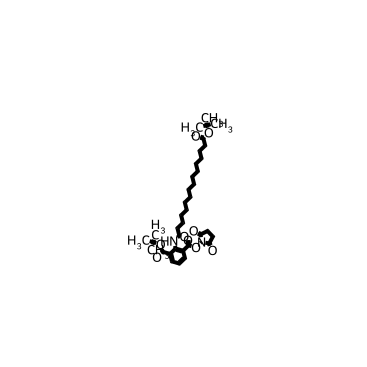 CC(C)(C)OC(=O)CCCCCCCCCCCCCCC(=O)Nc1c(C(=O)ON2C(=O)CCC2=O)cccc1C(=O)OC(C)(C)C